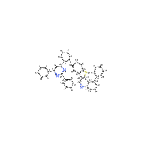 c1ccc(-c2cc(-c3ccccc3)nc(-c3cccc(-c4nc5cccc(-c6ccccc6)c5c5sc6ccccc6c45)c3)n2)cc1